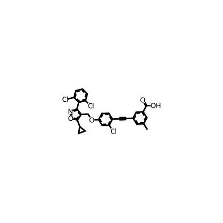 Cc1cc(C#Cc2ccc(OCc3c(-c4c(Cl)cccc4Cl)noc3C3CC3)cc2Cl)cc(C(=O)O)c1